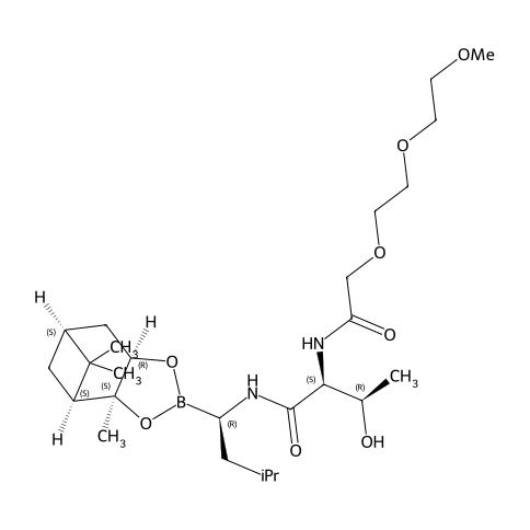 COCCOCCOCC(=O)N[C@H](C(=O)N[C@@H](CC(C)C)B1O[C@@H]2C[C@@H]3C[C@@H](C3(C)C)[C@]2(C)O1)[C@@H](C)O